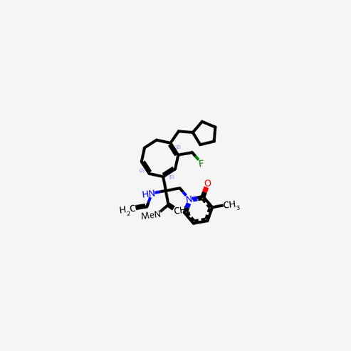 C=CNC(Cn1cccc(C)c1=O)(C(=C)NC)C1=C/C(CF)=C(/CC2CCCC2)CC/C=C\1